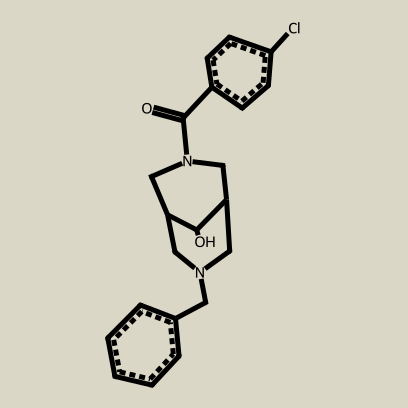 O=C(c1ccc(Cl)cc1)N1CC2CN(Cc3ccccc3)CC(C1)C2O